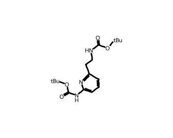 CC(C)(C)OC(=O)NCCc1cccc(NC(=O)OC(C)(C)C)n1